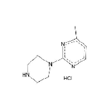 Cc1ccnc(N2CCNCC2)n1.Cl